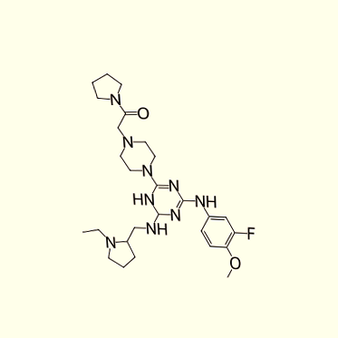 CCN1CCCC1CNC1N=C(Nc2ccc(OC)c(F)c2)N=C(N2CCN(CC(=O)N3CCCC3)CC2)N1